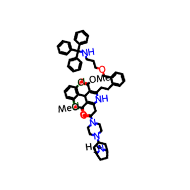 COC(=O)C1=C(CCc2ccccc2COCCCNC(c2ccccc2)(c2ccccc2)c2ccccc2)NC(CC(=O)N2CCN(C3CC4CCC(C3)N4C)CC2)=C(C(=O)OC)C1c1c(Cl)cccc1Cl